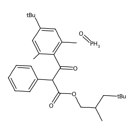 Cc1cc(C(C)(C)C)cc(C)c1C(=O)C(C(=O)OCC(C)CC(C)(C)C)c1ccccc1.O=[PH3]